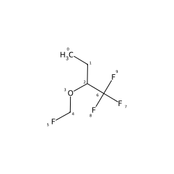 CCC(OCF)C(F)(F)F